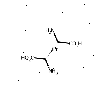 CC(C)[C@H](N)C(=O)O.NCC(=O)O